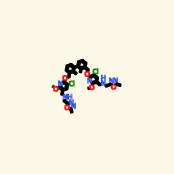 COc1nc(OCc2cccc(-c3cccc(COc4nc(OC)c(CNCc5nnc(C)o5)cc4Cl)c3C)c2C)c(Cl)cc1CNCc1nnc(C)o1